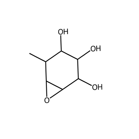 CC1C(O)C(O)C(O)C2OC12